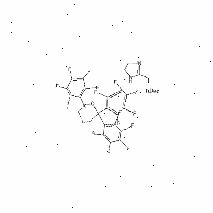 CCCCCCCCCCCC1=NCCN1.Fc1c(F)c(F)[c]([Al]2[CH2]CCC(c3c(F)c(F)c(F)c(F)c3F)(c3c(F)c(F)c(F)c(F)c3F)[O]2)c(F)c1F